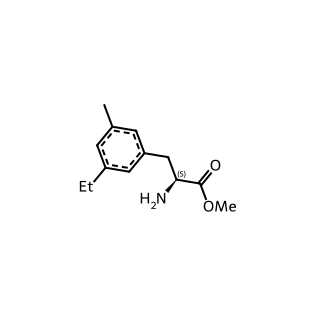 CCc1cc(C)cc(C[C@H](N)C(=O)OC)c1